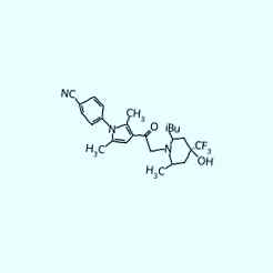 CCC(C)C1C[C@](O)(C(F)(F)F)CC(C)N1CC(=O)c1cc(C)n(-c2ccc(C#N)cc2)c1C